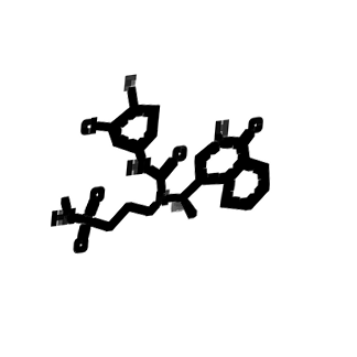 CNS(=O)(=O)CCCN(C(=O)Nc1ccc(F)c(Cl)c1)[C@H](C)c1c[nH]c(=O)c2ccccc12